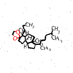 CCC[C@]1(C)[C@H]2CC[C@]3(C)[C@@H]([C@H](C)CCCC(C)C)CC[C@H]3[C@@H]2CCC12OCCO2